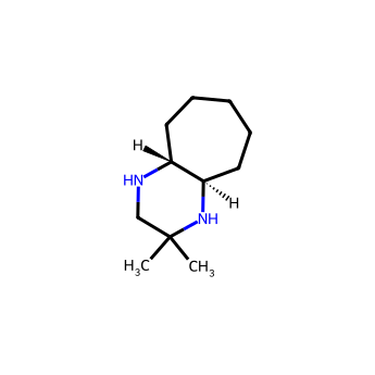 CC1(C)CN[C@@H]2CCCCC[C@H]2N1